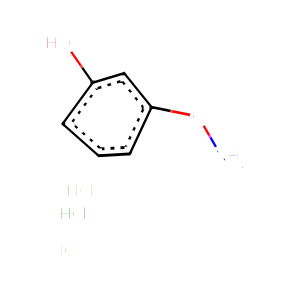 Cl.Cl.Cl.NOc1cccc(O)c1